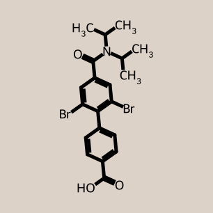 CC(C)N(C(=O)c1cc(Br)c(-c2ccc(C(=O)O)cc2)c(Br)c1)C(C)C